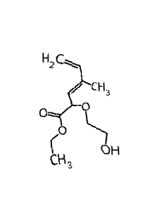 C=CC(C)=CC(OCCO)C(=O)OCC